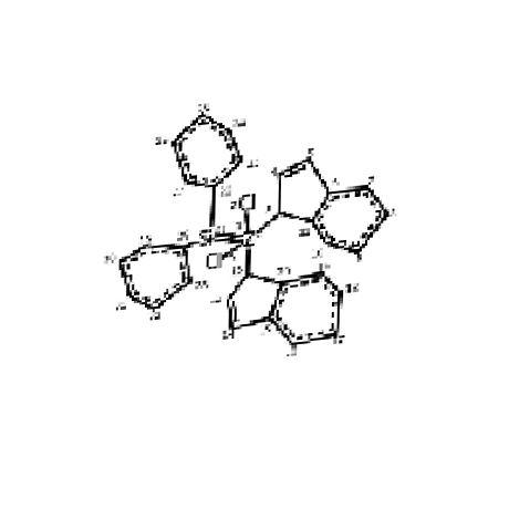 [Cl][Zr]([Cl])([CH]1C=Cc2ccccc21)([CH]1C=Cc2ccccc21)=[Si](c1ccccc1)c1ccccc1